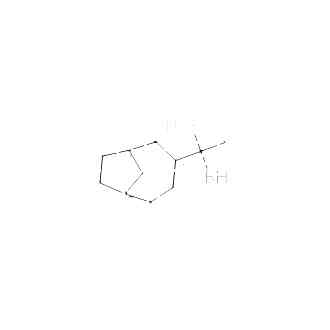 BC(B)(C)C1CCC2CCC(C2)C1